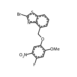 COc1cc(F)c([N+](=O)[O-])cc1OCc1cccc2sc(Br)nc12